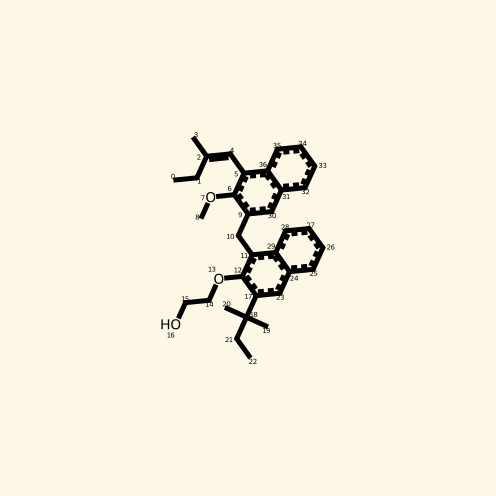 CC/C(C)=C\c1c(OC)c(Cc2c(OCCO)c(C(C)(C)CC)cc3ccccc23)cc2ccccc12